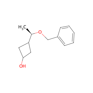 C[C@@H](OCc1ccccc1)C1CC(O)C1